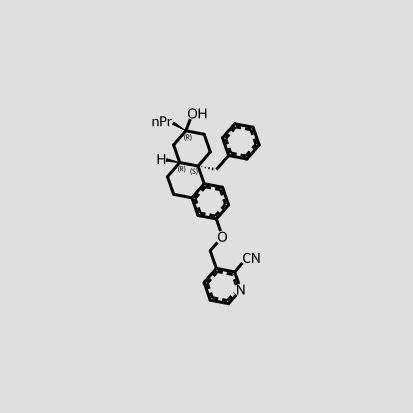 CCC[C@@]1(O)CC[C@@]2(Cc3ccccc3)c3ccc(OCc4cccnc4C#N)cc3CC[C@@H]2C1